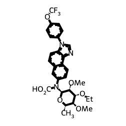 CCO[C@@H]1[C@@H](OC)[C@H](C)O[C@@H](N(C(=O)O)c2ccc3c(ccc4c3ncn4-c3ccc(OC(F)(F)F)cc3)c2)[C@@H]1OC